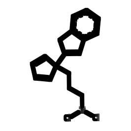 [Cl][Ti]([Cl])[CH2]CCC1(C2=Cc3ccccc3C2)C=CC=C1